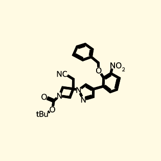 CC(C)(C)OC(=O)N1CC(CC#N)(n2cc(-c3cccc([N+](=O)[O-])c3OCc3ccccc3)cn2)C1